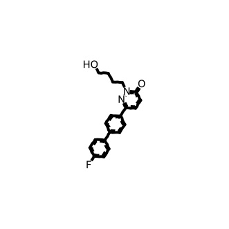 O=c1ccc(-c2ccc(-c3ccc(F)cc3)cc2)nn1CCCCO